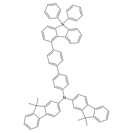 CC1(C)c2ccccc2-c2ccc(N(c3ccc(-c4ccc(-c5cccc6c5-c5ccccc5[Si]6(c5ccccc5)c5ccccc5)cc4)cc3)c3ccc4c(c3)C(C)(C)c3ccccc3-4)cc21